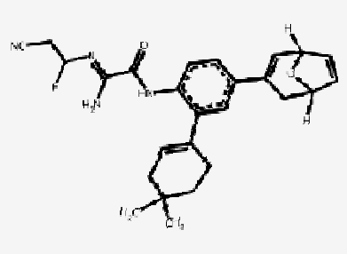 CC1(C)CC=C(c2cc(C3=C[C@@H]4C=C[C@H](C3)O4)ccc2NC(=O)/C(N)=N/C(F)CC#N)CC1